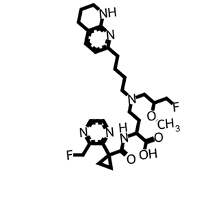 COC(CF)CN(CCCCc1ccc2c(n1)NCCC2)CCC(NC(=O)C1(c2nccnc2CF)CC1)C(=O)O